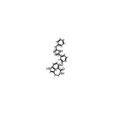 O=C1NCCc2c[nH]c3ccc(Oc4cccc(-c5nnc(Cc6ccccc6)[nH]5)c4)c1c23